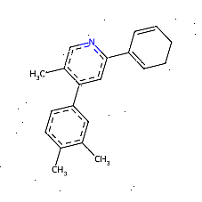 Cc1ccc(-c2cc(C3=CCCC=C3)ncc2C)cc1C